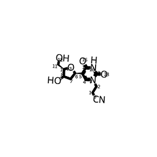 N#CCCn1cc([C@H]2CC(O)[C@@H](CO)O2)c(=O)[nH]c1=O